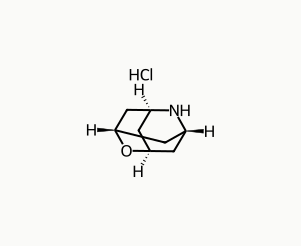 C1[C@H]2C[C@@H]3C[C@@H](C[C@H]1O3)N2.Cl